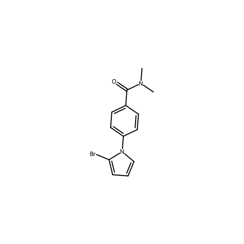 CN(C)C(=O)c1ccc(-n2cccc2Br)cc1